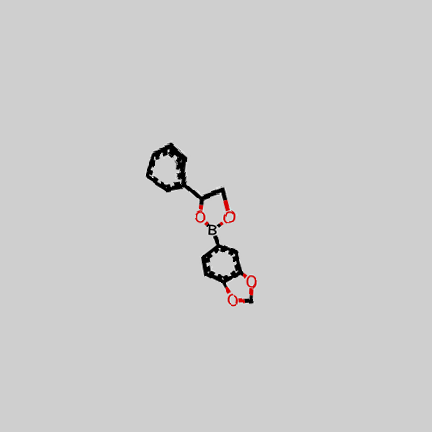 c1ccc(C2COB(c3ccc4c(c3)OCO4)O2)cc1